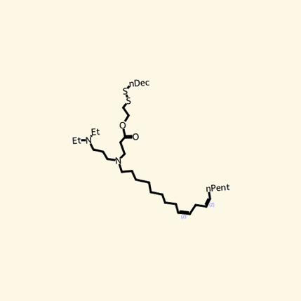 CCCCC/C=C\C/C=C\CCCCCCCCN(CCCN(CC)CC)CCC(=O)OCCSSCCCCCCCCCC